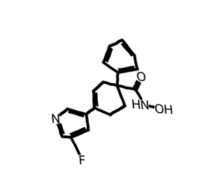 O=C(NO)C1(c2ccccc2)CC=C(c2cncc(F)c2)CC1